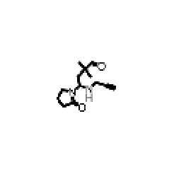 C#CCNC(CC(C)(C)C=O)N1CCCC1=O